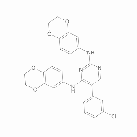 Clc1cccc(-c2cnc(Nc3ccc4c(c3)OCCO4)nc2Nc2ccc3c(c2)OCCO3)c1